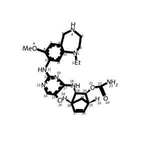 CCN1CCNCc2cc(OC)c(Nc3ncc(Cl)c(N[C@H]4[C@@H](OC(N)=O)[C@@H]5C=C[C@H]4C5)n3)cc21